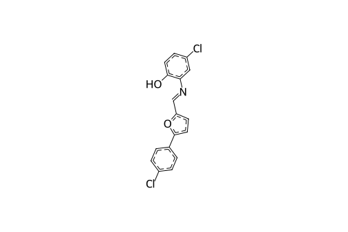 Oc1ccc(Cl)cc1N=Cc1ccc(-c2ccc(Cl)cc2)o1